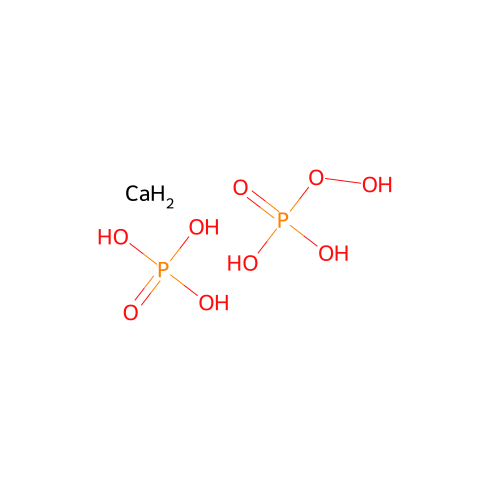 O=P(O)(O)O.O=P(O)(O)OO.[CaH2]